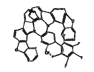 Fc1c(F)c(F)c(-c2cc(-n3c4ccccc4c4ccc5oc6ccccc6c5c43)c(-n3c4ccccc4c4ccc5oc6ccccc6c5c43)cc2C(F)(F)F)c(F)c1F